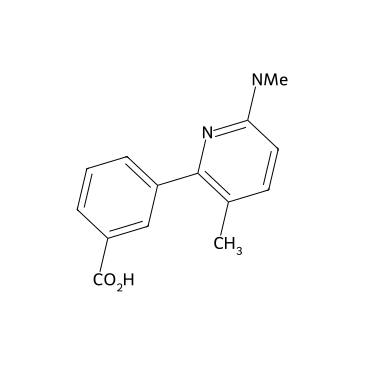 CNc1ccc(C)c(-c2cccc(C(=O)O)c2)n1